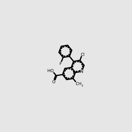 Cc1cc(C(=O)O)cc2c(-c3ccccc3F)c(Cl)cnc12